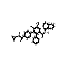 Cc1c(Cl)cc(C(C)Nc2ncnc3[nH]cnc23)c(-c2ccccc2)c1-c1ccc(C(=O)NC2CC2)cc1